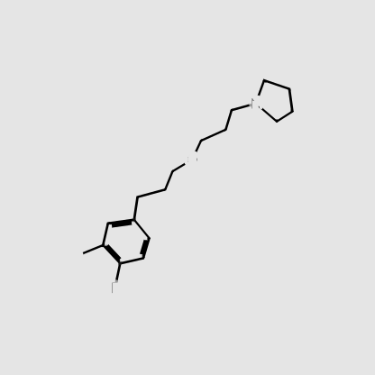 Cc1cc(CCCOCCCN2CCCC2)ccc1F